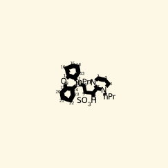 CCCN1C=CCN(CCC)C1C(CCN1c2ccccc2Oc2ccccc21)S(=O)(=O)O